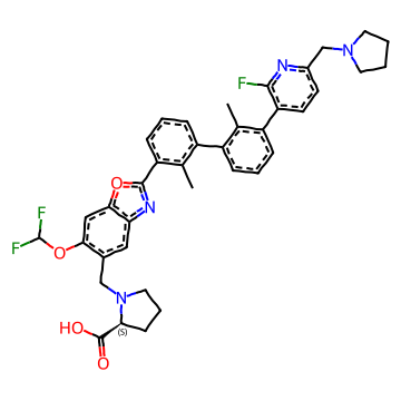 Cc1c(-c2nc3cc(CN4CCC[C@H]4C(=O)O)c(OC(F)F)cc3o2)cccc1-c1cccc(-c2ccc(CN3CCCC3)nc2F)c1C